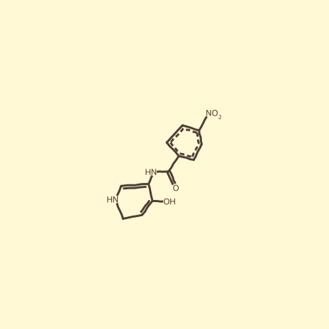 O=C(NC1=CNCC=C1O)c1ccc([N+](=O)[O-])cc1